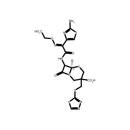 Nc1nc(C(=NOCC(=O)O)C(=O)NC2C(=O)N3CC(CSc4nncs4)(C(=O)O)CS[C@H]23)cs1